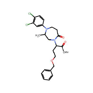 COC(=O)C(CCOCc1ccccc1)N1CC(C)N(c2ccc(Cl)c(Cl)c2)CCC1=O